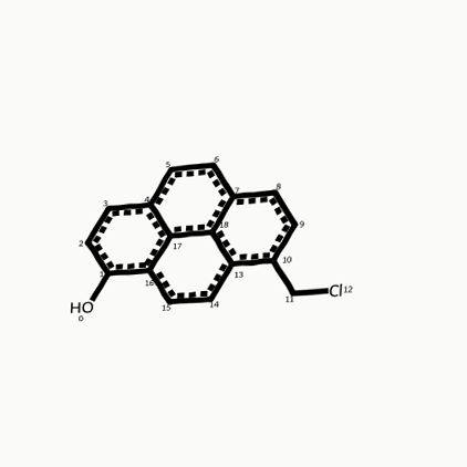 Oc1ccc2ccc3ccc(CCl)c4ccc1c2c34